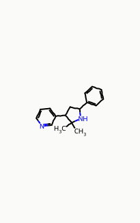 CC1(C)NC(c2ccccc2)CC1c1cccnc1